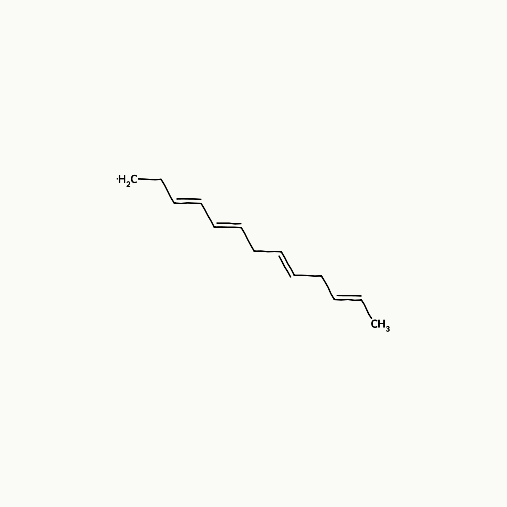 [CH2]CC=CC=CCC=CCC=CC